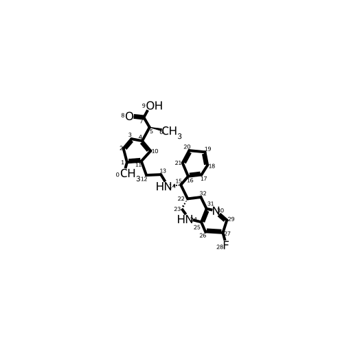 Cc1ccc([C@H](C)C(=O)O)cc1CCN[C@H](c1ccccc1)[C@H]1CNc2cc(F)cnc2C1